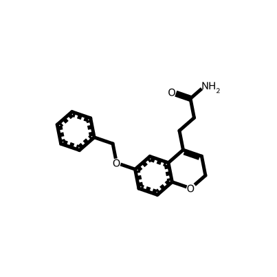 NC(=O)CCC1=CCOc2ccc(OCc3ccccc3)cc21